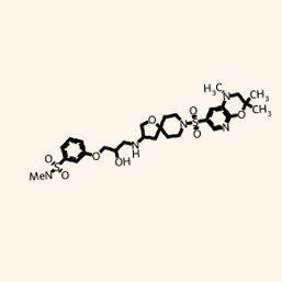 CNS(=O)(=O)c1cccc(OCC(O)CNC2COC3(CCN(S(=O)(=O)c4cnc5c(c4)N(C)CC(C)(C)O5)CC3)C2)c1